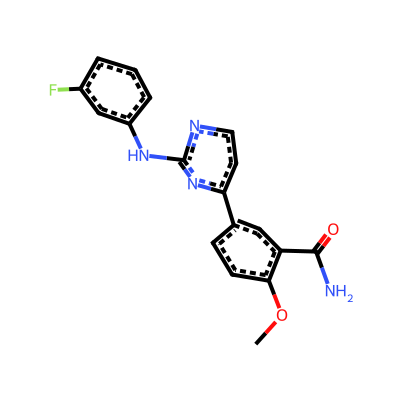 COc1ccc(-c2ccnc(Nc3cccc(F)c3)n2)cc1C(N)=O